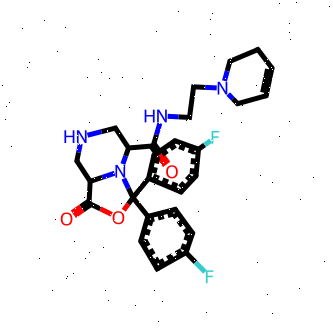 O=C(NCCN1CC=CCC1)C1CNCC2C(=O)OC(c3ccc(F)cc3)(c3ccc(F)cc3)N12